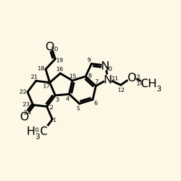 CCC1=C2c3ccc4c(cnn4COC)c3CC2(CC=O)CCC1=O